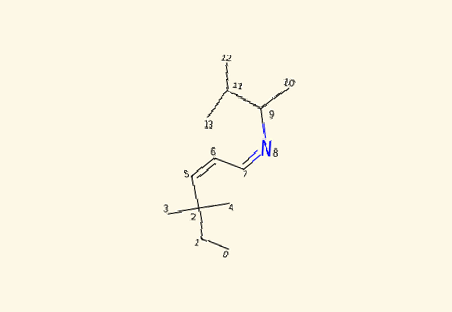 CCC(C)(C)/C=C\C=N/C(C)C(C)C